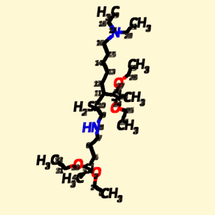 CCO[Si](C)(CCCNC[SiH2]C(CCCCCN(CC)CC)[Si](C)(OCC)OCC)OCC